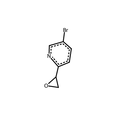 Brc1ccc(C2CO2)nc1